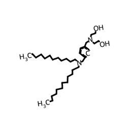 CCCCCCCCCCCCN(CCCCCCCCCCCC)Cc1ccc(CN(CCO)CCO)cc1